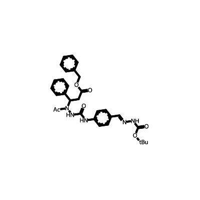 CC(=O)N(NC(=O)Nc1ccc(C=NNC(=O)OC(C)(C)C)cc1)C(CC(=O)OCc1ccccc1)c1ccccc1